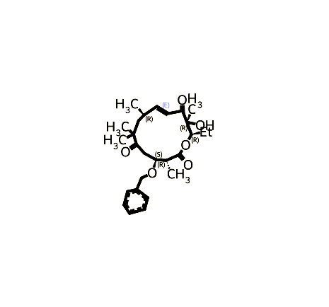 CC[C@H]1OC(=O)[C@H](C)[C@@H](OCc2ccccc2)CC(=O)C(C)(C)C[C@@H](C)/C=C/C(=O)[C@]1(C)O